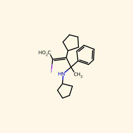 CC(NC1CCCC1)(C(=C(I)C(=O)O)C1CCCC1)c1ccccc1